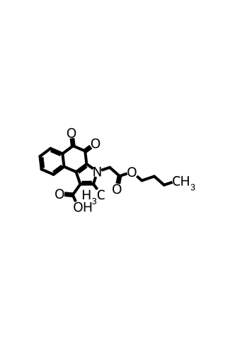 CCCCOC(=O)Cn1c(C)c(C(=O)O)c2c1C(=O)C(=O)c1ccccc1-2